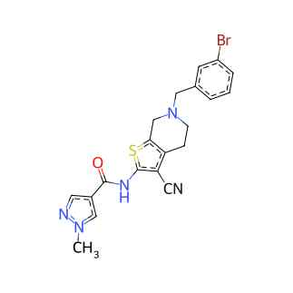 Cn1cc(C(=O)Nc2sc3c(c2C#N)CCN(Cc2cccc(Br)c2)C3)cn1